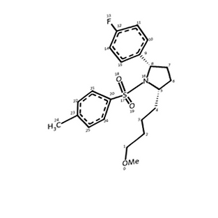 COCCCC[C@H]1CC[C@@H](c2ccc(F)cc2)N1S(=O)(=O)c1ccc(C)cc1